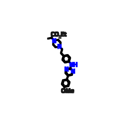 CCOC(=O)C(C)N1CCN(CCc2ccc(Nc3ncc(-c4ccc(OC)cc4)cn3)cc2)CC1